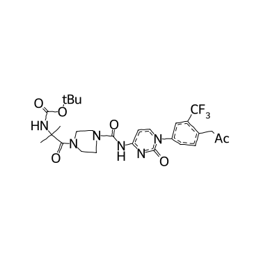 CC(=O)Cc1ccc(-n2ccc(NC(=O)N3CCN(C(=O)C(C)(C)NC(=O)OC(C)(C)C)CC3)nc2=O)cc1C(F)(F)F